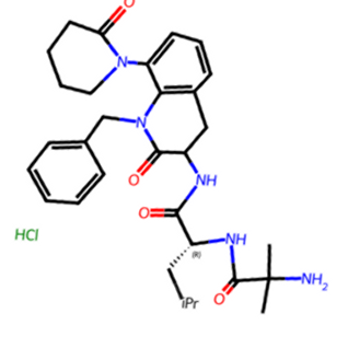 CC(C)C[C@@H](NC(=O)C(C)(C)N)C(=O)NC1Cc2cccc(N3CCCCC3=O)c2N(Cc2ccccc2)C1=O.Cl